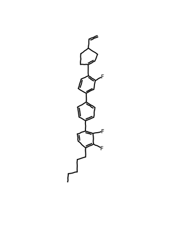 C=CC1CC=C(c2ccc(-c3ccc(-c4ccc(CCCCC)c(F)c4F)cc3)cc2F)CC1